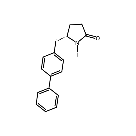 O=C1CC[C@@H](Cc2ccc(-c3ccccc3)cc2)N1I